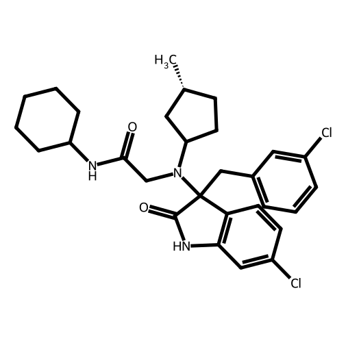 C[C@@H]1CCC(N(CC(=O)NC2CCCCC2)C2(Cc3cccc(Cl)c3)C(=O)Nc3cc(Cl)ccc32)C1